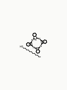 CCCCCCCCCCCCS.c1ccc2c(c1)-c1nc-2nc2[nH]c(nc3nc(nc4[nH]c(n1)c1ccccc41)-c1ccccc1-3)c1ccccc21